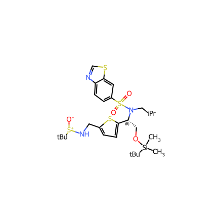 CC(C)CN([C@H](CO[Si](C)(C)C(C)(C)C)c1ccc(CN[S+]([O-])C(C)(C)C)s1)S(=O)(=O)c1ccc2ncsc2c1